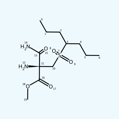 CCCC(CCC)S(=O)(=O)C[C@@](N)(C(N)=O)C(=O)OC